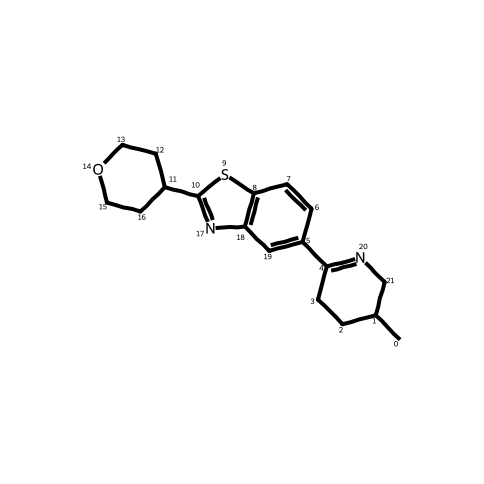 CC1CCC(c2ccc3sc(C4CCOCC4)nc3c2)=NC1